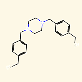 CC(C)Cc1ccc(CN2CCN(Cc3ccc(CC(C)C)cc3)CC2)cc1